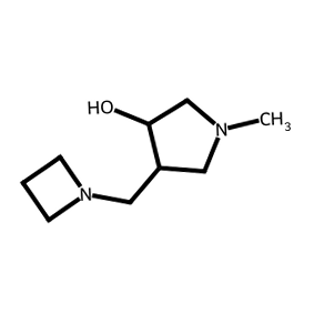 CN1CC(O)C(CN2CCC2)C1